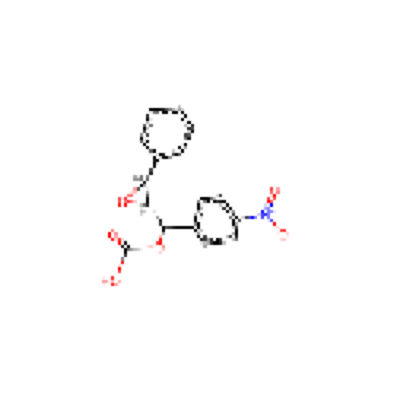 O=C(O)OC(c1ccc([N+](=O)[O-])cc1)[C@@H]1O[C@H]1c1ccccc1